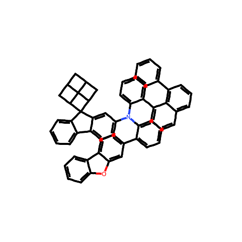 c1ccc(-c2cccc3cccc(-c4ccccc4N(c4ccc5c(c4)C4(c6ccccc6-5)C5CC6CC7CC4C675)c4ccccc4-c4ccc5c(c4)oc4ccccc45)c23)cc1